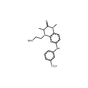 COCCN1c2nc(Nc3cccc(C(=O)O)c3)ccc2N(C)C(=O)C1C